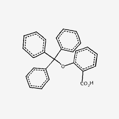 O=C(O)c1ccccc1OC(c1ccccc1)(c1ccccc1)c1ccccc1